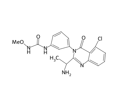 CONC(=O)Nc1cccc(-n2c(C(C)N)nc3cccc(Cl)c3c2=O)c1